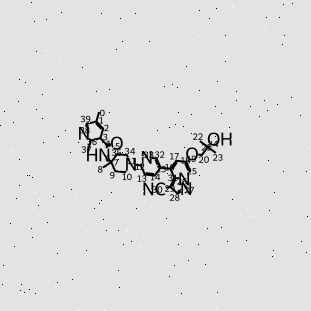 CC1=CC(C(=O)NC2(C)CCN(c3ccc(-c4cc(OCC(C)(C)O)cn5ncc(C#N)c45)cn3)CC2)C(C)N=C1